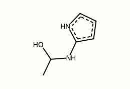 CC(O)Nc1ccc[nH]1